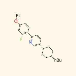 CCCC[C@H]1CC[C@H](c2ccc(-c3ccc(OCC)cc3F)nc2)CC1